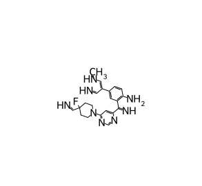 CN/C=C(\C=N)c1ccc(N)c(C(=N)c2cc(N3CCC(F)(C=N)CC3)ncn2)c1